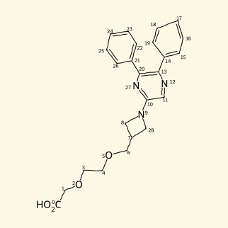 O=C(O)COCCOCC1CN(c2cnc(-c3ccccc3)c(-c3ccccc3)n2)C1